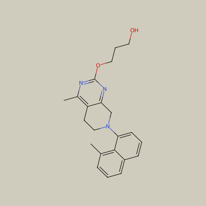 Cc1nc(OCCCO)nc2c1CCN(c1cccc3cccc(C)c13)C2